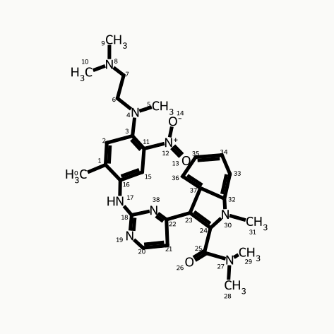 Cc1cc(N(C)CCN(C)C)c([N+](=O)[O-])cc1Nc1nccc(-c2c(C(=O)N(C)C)n(C)c3ccccc23)n1